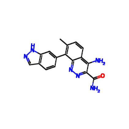 Cc1ccc2c(N)c(C(N)=O)nnc2c1-c1ccc2cn[nH]c2c1